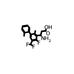 Cc1ccccc1-c1cc(C(F)F)c(F)c(C(N)CC(=O)O)c1C